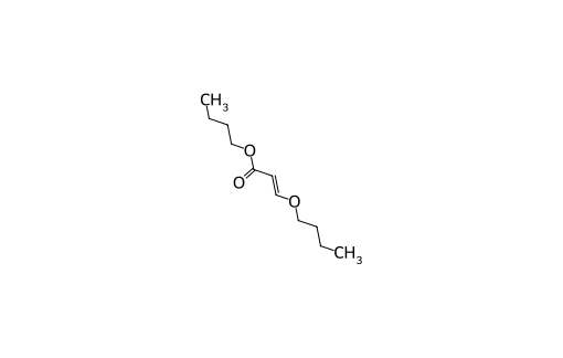 CCCCOC=CC(=O)OCCCC